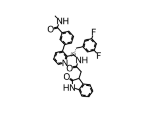 CNC(=O)c1cccc(-c2cccnc2[C@H](Cc2cc(F)cc(F)c2)NC(=O)CC2C(=O)Nc3ccccc32)c1